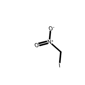 O=[N+]([O-])CI